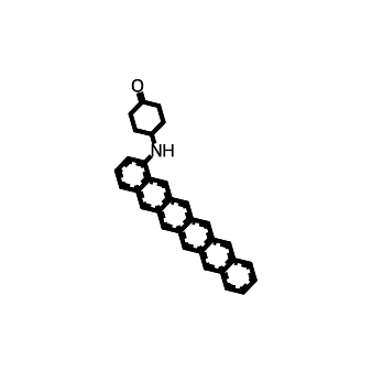 O=C1CCC(Nc2cccc3cc4cc5cc6cc7ccccc7cc6cc5cc4cc23)CC1